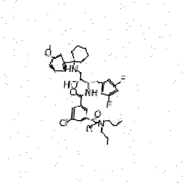 CCCN(CCC)S(=O)(=O)c1cc(Cl)cc(C(=O)N[C@@H](Cc2cc(F)cc(F)c2)[C@H](O)CNC2(c3cccc(OC)c3)CCCCC2)c1